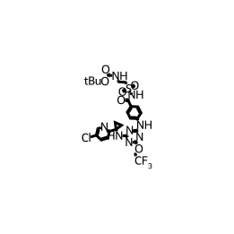 CC(C)(C)OC(=O)NCCS(=O)(=O)NC(=O)c1ccc(Nc2nc(NC3(c4ccc(Cl)cn4)CC3)nc(OCC(F)(F)F)n2)cc1